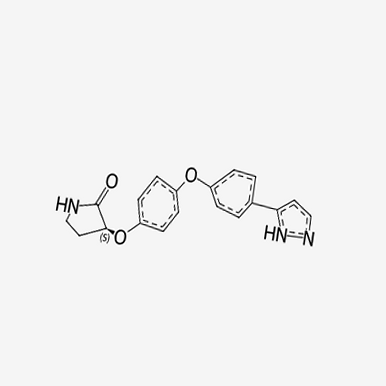 O=C1NCC[C@@H]1Oc1ccc(Oc2ccc(-c3ccn[nH]3)cc2)cc1